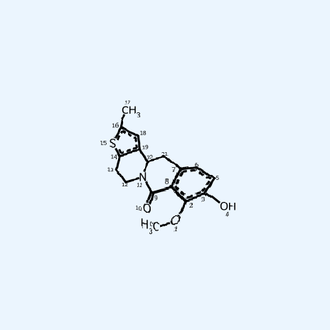 COc1c(O)ccc2c1C(=O)N1CCc3sc(C)cc3C1C2